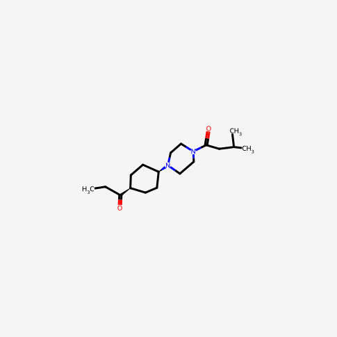 CCC(=O)[C@H]1CC[C@@H](N2CCN(C(=O)CC(C)C)CC2)CC1